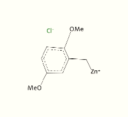 COc1ccc(OC)c([CH2][Zn+])c1.[Cl-]